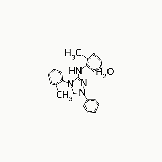 Cc1ccccc1NC1=NN(c2ccccc2)CN1c1ccccc1C.O